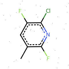 Cc1cc(F)c(Cl)nc1F